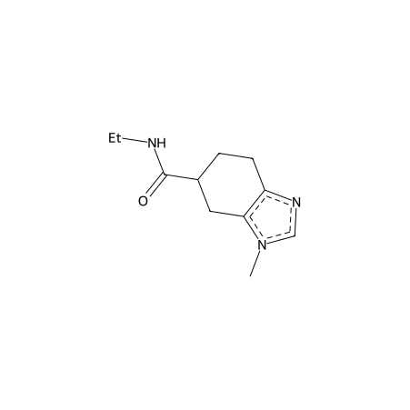 CCNC(=O)C1CCc2ncn(C)c2C1